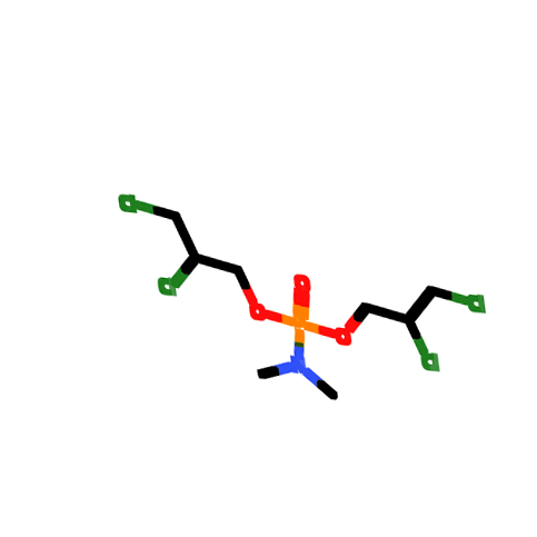 CN(C)P(=O)(OCC(Cl)CCl)OCC(Cl)CCl